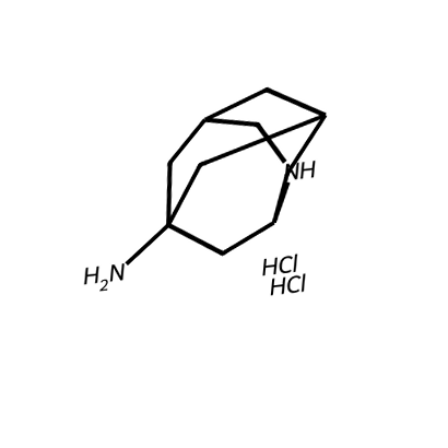 Cl.Cl.NC12CC3CNC(CC(C3)C1)C2